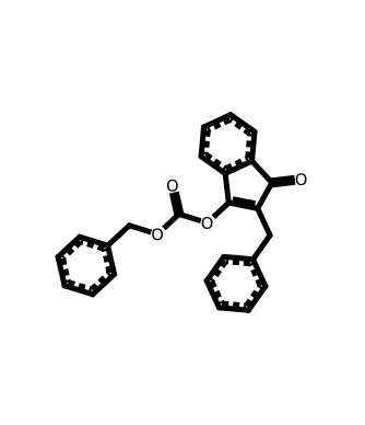 O=C(OCc1ccccc1)OC1=C(Cc2ccccc2)C(=O)c2ccccc21